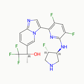 C[C@@](O)(c1ccc2ncc(-c3nc(N[C@H]4CNC[C@@H]4F)c(F)cc3F)n2c1)C(F)(F)F